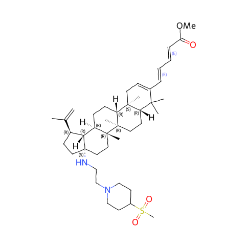 C=C(C)[C@@H]1CC[C@]2(NCCN3CCC(S(C)(=O)=O)CC3)CC[C@]3(C)[C@H](CC[C@@H]4[C@@]5(C)CC=C(/C=C/C=C/C(=O)OC)C(C)(C)[C@@H]5CC[C@]43C)[C@@H]12